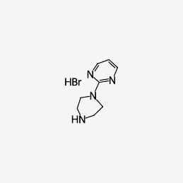 Br.c1cnc(N2CCNCC2)nc1